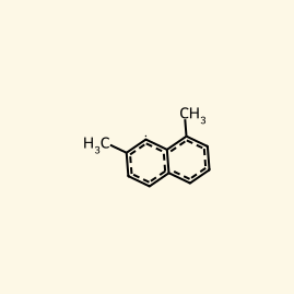 Cc1[c]c2c(C)cccc2cc1